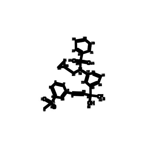 CS(=O)(=O)c1cccc(C#CC(O)(c2cccc(N(CC3CC3)S(=O)(=O)c3ccccc3)c2)C(F)(F)F)c1